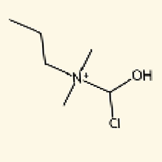 CCC[N+](C)(C)C(O)Cl